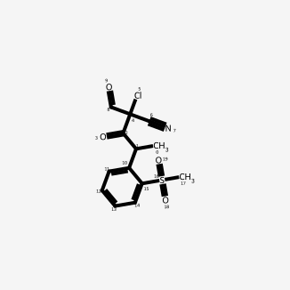 CC(C(=O)C(Cl)(C#N)C=O)c1ccccc1S(C)(=O)=O